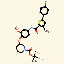 COc1cc(NC(=O)c2sc(-c3ccc(Cl)cc3)cc2C)ccc1OC1CCCN(C(=O)OC(C)(C)C)C1